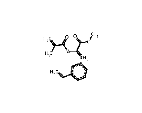 C=C(C)C(=O)OC(=C)C(=O)OC.C=Cc1ccccc1